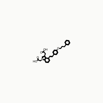 O=C(O)Cc1cn(CC(=O)O)c2cccc(C=Cc3ccc(OCCCc4ccccc4)cc3)c12